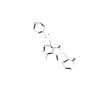 CC(C)(C)c1ccc(S(=O)(=O)Nc2ccc(Cl)c3c2C(=O)N(Cc2ccc[nH]c2=O)C3=O)cc1